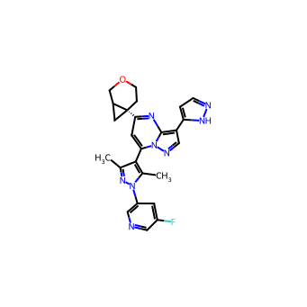 Cc1nn(-c2cncc(F)c2)c(C)c1-c1cc([C@@]23CCOCC2C3)nc2c(-c3ccn[nH]3)cnn12